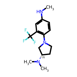 CNc1ccc(N2CC[C@H](N(C)C)C2)c(C(F)(F)F)c1